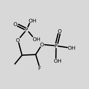 CC(OP(=O)(O)O)C(F)OP(=O)(O)O